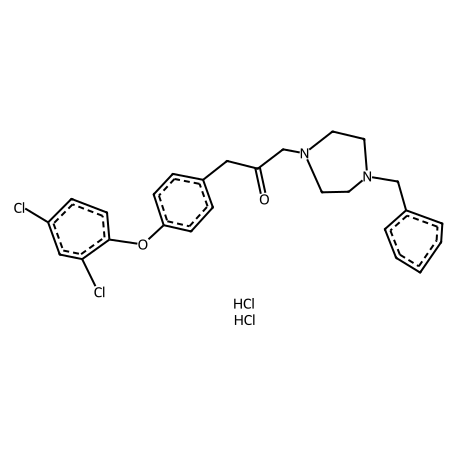 Cl.Cl.O=C(Cc1ccc(Oc2ccc(Cl)cc2Cl)cc1)CN1CCN(Cc2ccccc2)CC1